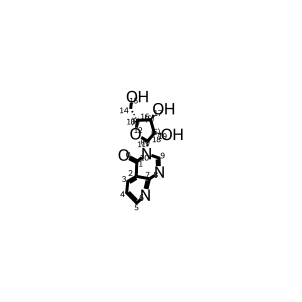 O=c1c2cccnc2ncn1[C@@H]1O[C@H](CO)[C@@H](O)[C@@H]1O